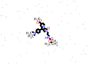 CCN(CC)c1ccc(-c2c3c(n4ccc(C(=O)OC)cc24)C(=O)N(CCCNC(=O)OC(C)(C)C)C3)cc1